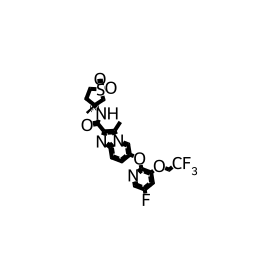 Cc1c(C(=O)N[C@]2(C)CCS(=O)(=O)C2)nc2ccc(Oc3ncc(F)cc3OCC(F)(F)F)cn12